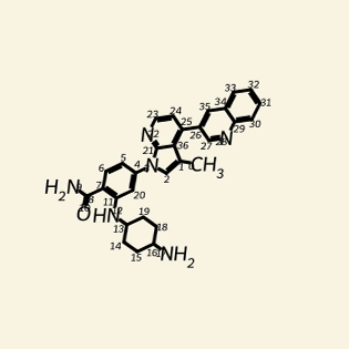 Cc1cn(-c2ccc(C(N)=O)c(NC3CCC(N)CC3)c2)c2nccc(-c3cnc4ccccc4c3)c12